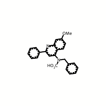 COc1ccc2c(N(Cc3ccccc3)C(=O)O)cc(-c3ccccc3)nc2c1